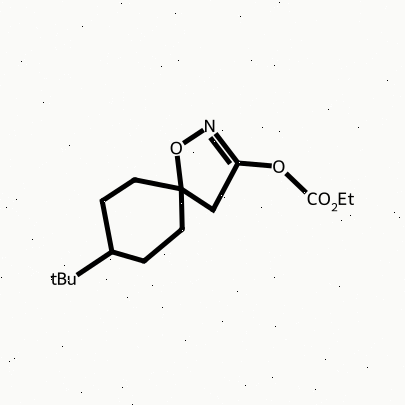 CCOC(=O)OC1=NOC2(CCC(C(C)(C)C)CC2)C1